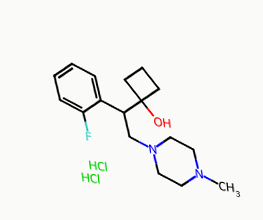 CN1CCN(CC(c2ccccc2F)C2(O)CCC2)CC1.Cl.Cl